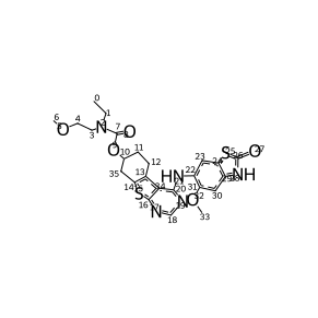 CCN(CCOC)C(=O)OC1CCc2c(sc3ncnc(Nc4cc5sc(=O)[nH]c5cc4OC)c23)C1